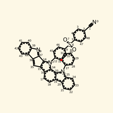 N#Cc1ccc(S(=O)(=O)c2ccc(-n3c4c(c5ccc6c7ccccc7n(-c7ccccc7)c6c53)C=C3C4=Nc4ccccc43)cc2)cc1